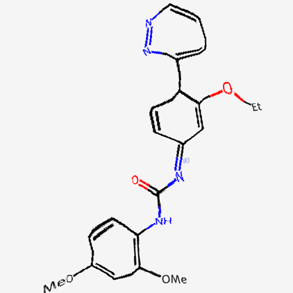 CCOC1=C/C(=N/C(=O)Nc2ccc(OC)cc2OC)C=CC1c1cccnn1